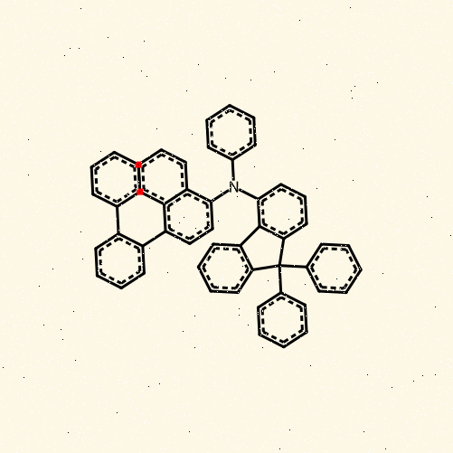 c1ccc(-c2ccccc2-c2ccc(N(c3ccccc3)c3cccc4c3-c3ccccc3C4(c3ccccc3)c3ccccc3)c3ccccc23)cc1